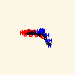 COc1c(NC(=O)c2ccc(NC(=O)c3ccc(NC(=O)C(Cc4c[nH]nn4)NC(=O)c4ccc(NCc5ccc6ncccc6c5)cc4)cn3)c(OC)c2O)ccc(C(=O)O)c1O